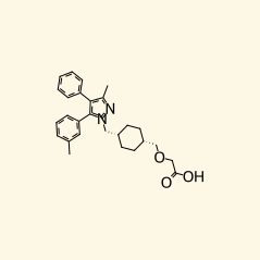 Cc1cccc(-c2c(-c3ccccc3)c(C)nn2C[C@H]2CC[C@@H](COCC(=O)O)CC2)c1